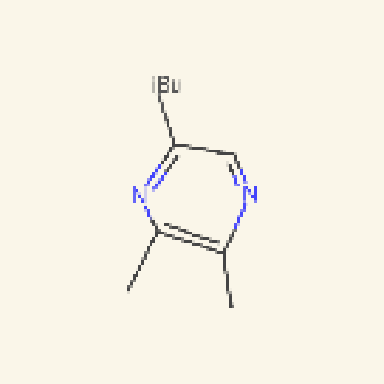 CCC(C)c1cnc(C)c(C)n1